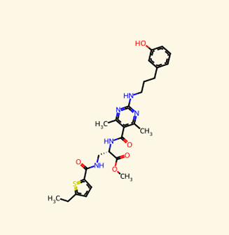 CCc1ccc(C(=O)NC[C@H](NC(=O)c2c(C)nc(NCCCc3cccc(O)c3)nc2C)C(=O)OC)s1